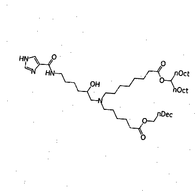 CCCCCCCCCCCOC(=O)CCCCCN(CCCCCCCC(=O)OC(CCCCCCCC)CCCCCCCC)CC(O)CCCCNC(=O)c1c[nH]cn1